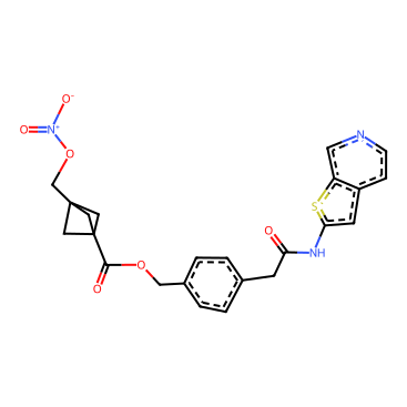 O=C(Cc1ccc(COC(=O)C23CC(CO[N+](=O)[O-])(C2)C3)cc1)Nc1cc2ccncc2s1